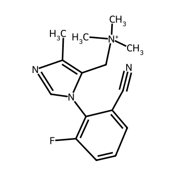 Cc1ncn(-c2c(F)cccc2C#N)c1C[N+](C)(C)C